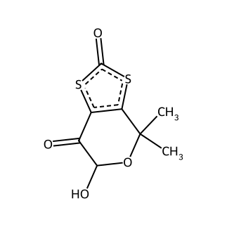 CC1(C)OC(O)C(=O)c2sc(=O)sc21